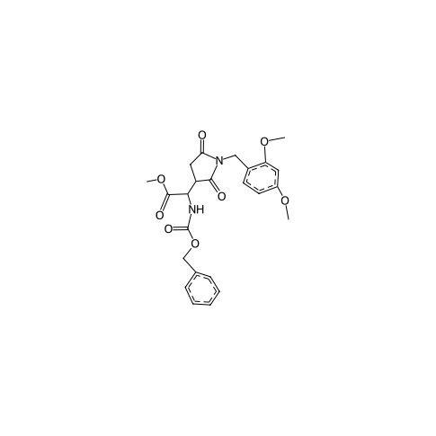 COC(=O)C(NC(=O)OCc1ccccc1)C1CC(=O)N(Cc2ccc(OC)cc2OC)C1=O